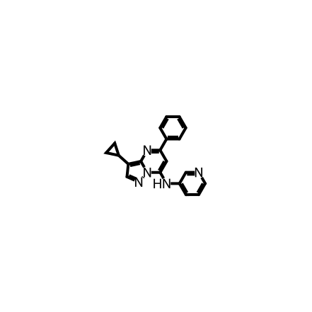 c1ccc(-c2cc(Nc3cccnc3)n3ncc(C4CC4)c3n2)cc1